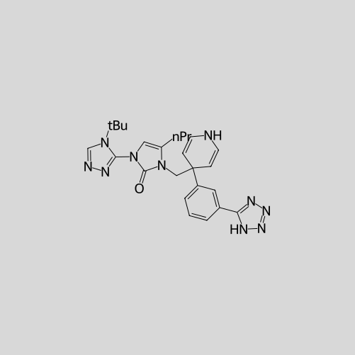 CCCc1cn(-c2nncn2C(C)(C)C)c(=O)n1CC1(c2cccc(-c3nnn[nH]3)c2)C=CNC=C1